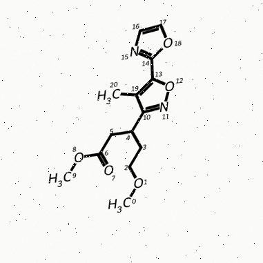 COCCC(CC(=O)OC)c1noc(-c2ncco2)c1C